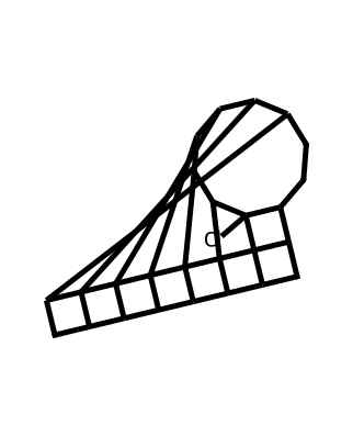 ClC12C3CCC4C5CC6C7C8C9C%10C%11CC3C%111C%101C2C2C3C%10C4C56C7%10C83C921